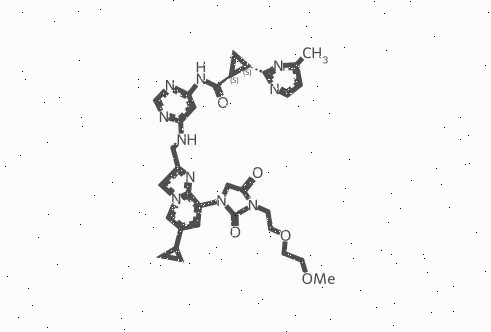 COCCOCCN1C(=O)CN(c2cc(C3CC3)cn3cc(CNc4cc(NC(=O)[C@H]5C[C@@H]5c5nccc(C)n5)ncn4)nc23)C1=O